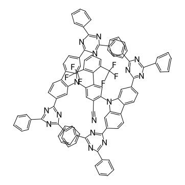 N#Cc1cc(-n2c3cc(-c4nc(-c5ccccc5)nc(-c5ccccc5)n4)ccc3c3ccc(-c4nc(-c5ccccc5)nc(-c5ccccc5)n4)cc32)c(-c2c(C(F)(F)F)cccc2C(F)(F)F)cc1-n1c2cc(-c3nc(-c4ccccc4)nc(-c4ccccc4)n3)ccc2c2ccc(-c3nc(-c4ccccc4)nc(-c4ccccc4)n3)cc21